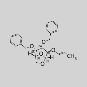 CC=CO[C@H]1[C@@H]2OC[C@@H](O2)[C@H](OCc2ccccc2)[C@@H]1OCc1ccccc1